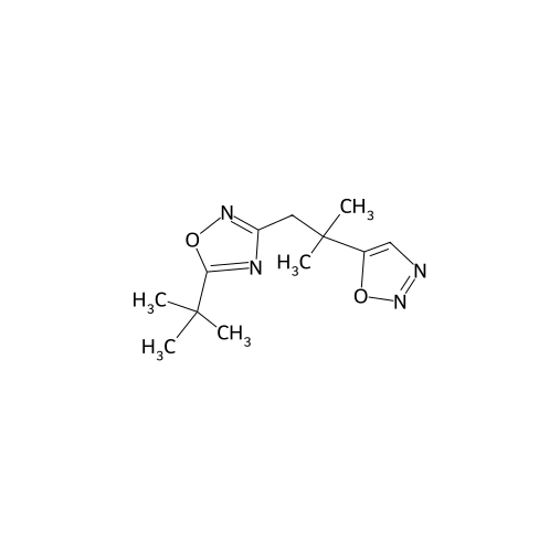 CC(C)(C)c1nc(CC(C)(C)c2cnno2)no1